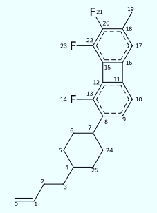 C=CCCC1CCC(c2ccc3c(c2F)-c2c-3cc(C)c(F)c2F)CC1